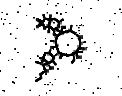 CCCNC[C@]1(O)[C@H](C)O[C@@H](O[C@H]2[C@H](C)[C@@H](O[C@@H]3O[C@H](C)C[C@H]4[C@H]3OS(=O)(=O)N4C)[C@](C)(O)C[C@@H](C)CN[C@H](C)[C@@H](O)[C@](C)(O)[C@@H](CC)OC(=O)[C@@H]2C)C[C@@]1(C)OC